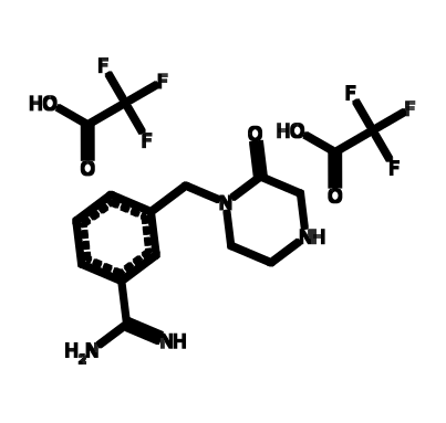 N=C(N)c1cccc(CN2CCNCC2=O)c1.O=C(O)C(F)(F)F.O=C(O)C(F)(F)F